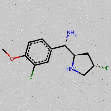 COc1ccc([C@H](N)[C@H]2C[C@H](F)CN2)cc1F